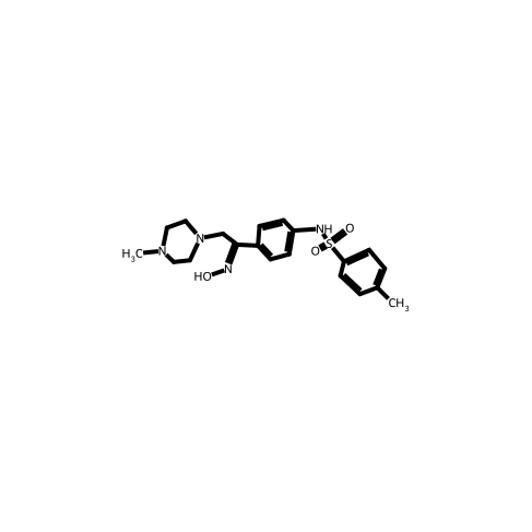 Cc1ccc(S(=O)(=O)Nc2ccc(C(CN3CCN(C)CC3)=NO)cc2)cc1